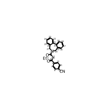 CCO/C(=N\C(=O)c1ccc(C#N)cc1)N1Cc2ccccc2-c2ccccc2C1